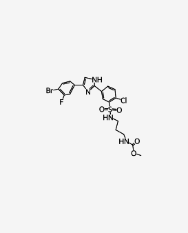 COC(=O)NCCCNS(=O)(=O)c1cc(-c2nc(-c3ccc(Br)c(F)c3)c[nH]2)ccc1Cl